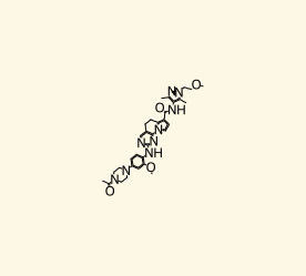 COCCn1nc(C)c(NC(=O)c2ccn3c2CCc2cnc(Nc4ccc(N5CCN(C(C)=O)CC5)cc4OC)nc2-3)c1C